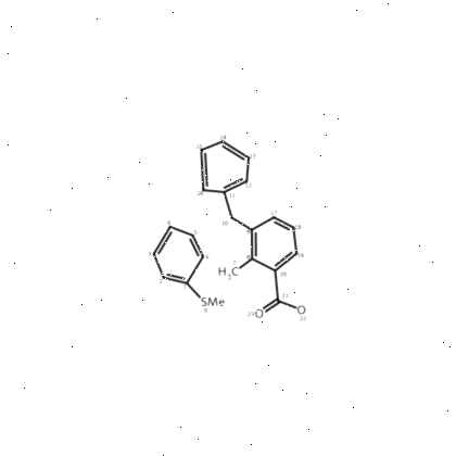 CSc1ccccc1.Cc1c(Cc2ccccc2)cccc1C([O])=O